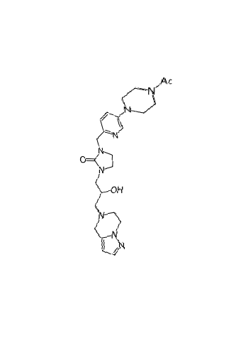 CC(=O)N1CCN(c2ccc(CN3CCN(CC(O)CN4CCn5nccc5C4)C3=O)nc2)CC1